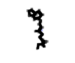 CCC1(C)OC1CC/C(C)=C/COc1ccc2c(c1)OCC2